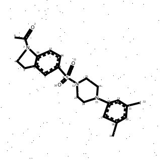 CC(=O)N1CCc2cc(S(=O)(=O)N3CCN(c4cc(C)cc(I)c4)CC3)ccc21